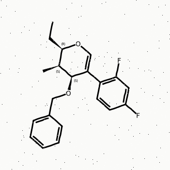 CC[C@H]1OC=C(c2ccc(F)cc2F)[C@@H](OCc2ccccc2)[C@H]1C